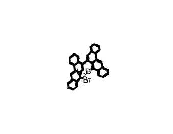 Bc1c2ccccc2cc2c1c(-c1cc3c(Br)c4ccccc4cc3c3ccccc13)cc1ccccc12